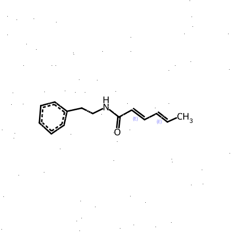 C/C=C/C=C/C(=O)NCCc1ccccc1